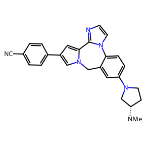 CN[C@H]1CCN(c2ccc3c(c2)Cn2cc(-c4ccc(C#N)cc4)cc2-c2nccn2-3)C1